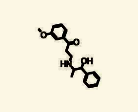 COc1cccc(C(=O)CCNC(C)C(O)c2ccccc2)c1